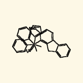 COc1ccc2c([c]1[Zr]([CH3])([CH3])(=[SiH2])([C]1=CC=CC1)([c]1ccccc1)[c]1ccccc1)Cc1ccccc1-2